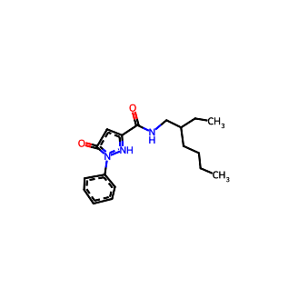 CCCCC(CC)CNC(=O)c1cc(=O)n(-c2ccccc2)[nH]1